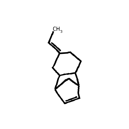 CC=C1CCC2C3C=CC(C3)C2C1